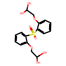 O=S(=O)(c1ccccc1OCC(O)O)c1ccccc1OCC(O)O